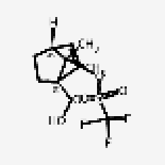 CC1(C)[C@H]2C=C(OS(=O)(=O)C(F)(F)F)[C@]1(C(=O)O)CC2